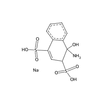 NC1(O)c2ccccc2C(S(=O)(=O)O)=CC1S(=O)(=O)O.[Na]